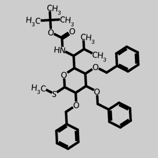 CSC1OC(C(NC(=O)OC(C)(C)C)C(C)C)C(OCc2ccccc2)C(OCc2ccccc2)C1OCc1ccccc1